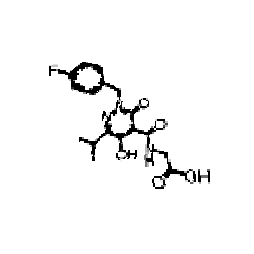 CC(C)c1nn(Cc2ccc(F)cc2)c(=O)c(C(=O)NCC(=O)O)c1O